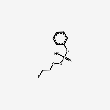 FCCOOP(=S)(S)Oc1ccccc1